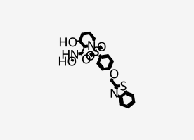 O=C(NO)[C@H]1[C@@H](O)CCCN1S(=O)(=O)c1ccc(OCc2nc3ccccc3s2)cc1